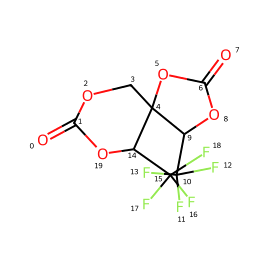 O=C1OCC2(OC(=O)OC2C(F)(F)F)C(C(F)(F)F)O1